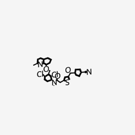 Cc1ccc2cccc(OCc3c(Cl)ccc(N(C)C(=O)Cc4cc(C(=O)c5ccc(C#N)cc5)cs4)c3Cl)c2n1